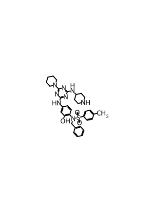 Cc1ccc(S(=O)(=O)N(Cc2ccccc2)c2ccc(Nc3nc(NC4CCNCC4)nc(N4CCCCC4)n3)cc2O)cc1